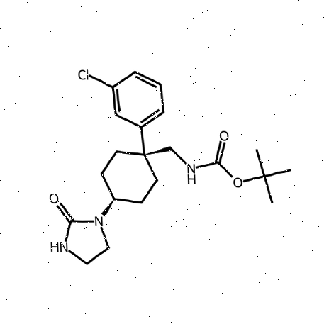 CC(C)(C)OC(=O)NC[C@]1(c2cccc(Cl)c2)CC[C@H](N2CCNC2=O)CC1